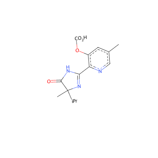 Cc1cnc(C2=NC(C)(C(C)C)C(=O)N2)c(OC(=O)O)c1